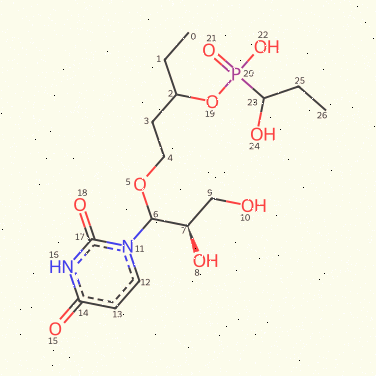 CCC(CCOC([C@H](O)CO)n1ccc(=O)[nH]c1=O)OP(=O)(O)C(O)CC